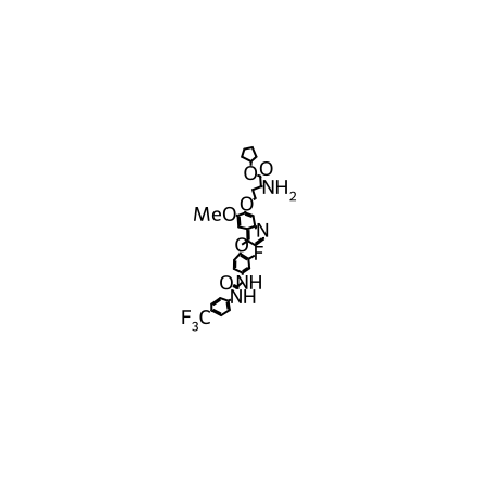 COc1cc2c(Oc3ccc(NC(=O)Nc4ccc(C(F)(F)F)cc4)cc3F)ccnc2cc1OCCC(N)C(=O)OC1CCCC1